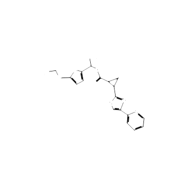 CC(NC(=O)C1CC1c1nc(-c2ccccn2)c[nH]1)c1ccc(OCC(F)(F)F)s1